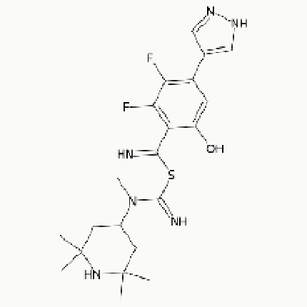 CN(C(=N)SC(=N)c1c(O)cc(-c2cn[nH]c2)c(F)c1F)C1CC(C)(C)NC(C)(C)C1